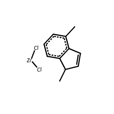 C[C]1C=Cc2c(C)cccc21.[Cl][Zr][Cl]